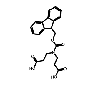 O=C(O)CCN(CCC(=O)O)C(=O)OCC1c2ccccc2-c2ccccc21